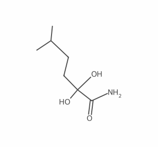 CC(C)CCC(O)(O)C(N)=O